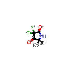 CCC1(CC)NC(=O)C(F)(F)C1=O